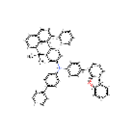 CC1(C)c2cc(N(c3ccc(-c4ccccc4)cc3)c3ccc(-c4cccc5c4oc4ccccc45)cc3)ccc2-c2c(-c3ccccc3)ccc3cccc1c23